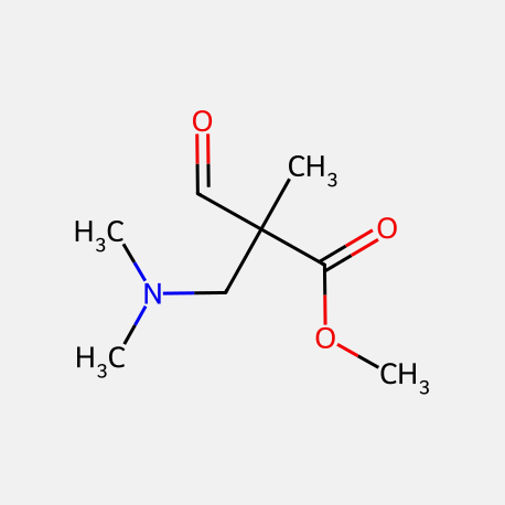 COC(=O)C(C)(C=O)CN(C)C